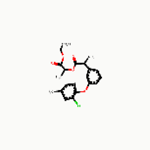 CCOC(=O)COC(=O)C(C)OC(=O)C(c1cccc(Oc2ccc(C(F)(F)F)cc2Cl)c1)[N+](=O)[O-]